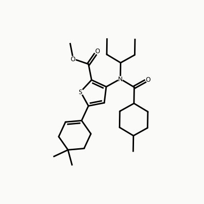 CCC(CC)N(C(=O)C1CCC(C)CC1)c1cc(C2=CCC(C)(C)CC2)sc1C(=O)OC